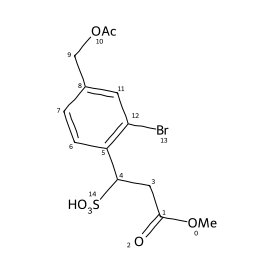 COC(=O)CC(c1ccc(COC(C)=O)cc1Br)S(=O)(=O)O